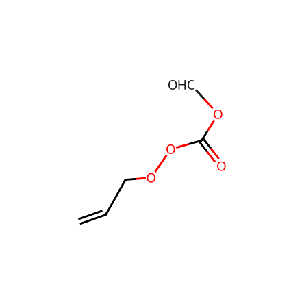 C=CCOOC(=O)OC=O